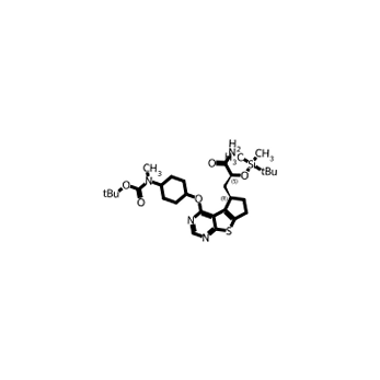 CN(C(=O)OC(C)(C)C)C1CCC(Oc2ncnc3sc4c(c23)[C@@H](C[C@H](O[Si](C)(C)C(C)(C)C)C(N)=O)CC4)CC1